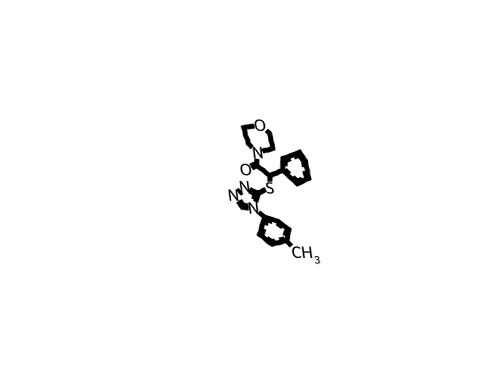 Cc1ccc(-n2cnnc2SC(C(=O)N2CCOCC2)c2ccccc2)cc1